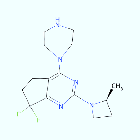 C[C@H]1CCN1c1nc(N2CCNCC2)c2c(n1)C(F)(F)CC2